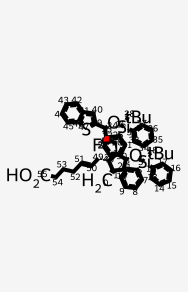 C=C1C[C@@H](O[Si](c2ccccc2)(c2ccccc2)C(C)(C)C)[C@H](CC(F)C(O[Si](c2ccccc2)(c2ccccc2)C(C)(C)C)c2cc3ccccc3s2)[C@H]1CC=CCCCC(=O)O